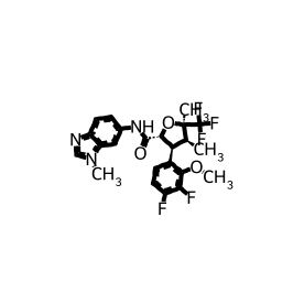 COc1c([C@H]2[C@H](C(=O)Nc3ccc4ncn(C)c4c3)O[C@@](C)(C(F)(F)F)[C@H]2C)ccc(F)c1F